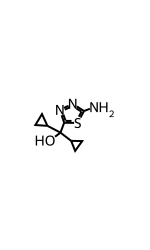 Nc1nnc(C(O)(C2CC2)C2CC2)s1